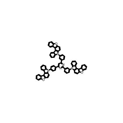 c1cc(-c2cc(-c3ccc(-n4c5ccccc5c5c6c(ccc54)oc4ccccc46)cc3)nc(-c3cccc(-n4c5ccccc5c5c6c(ccc54)oc4ccccc46)c3)n2)cc(-n2c3ccccc3c3c4c(ccc32)oc2ccccc24)c1